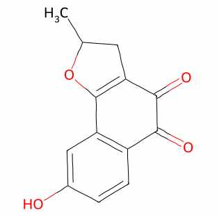 CC1CC2=C(O1)c1cc(O)ccc1C(=O)C2=O